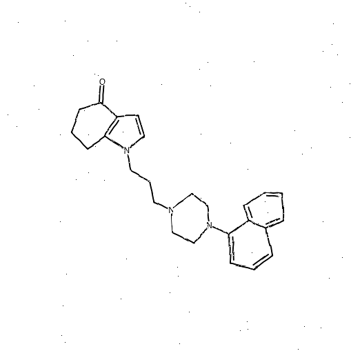 O=C1CCCc2c1ccn2CCCN1CCN(c2cccc3ccccc23)CC1